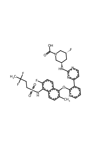 Cc1ccc2c(NS(=O)(=O)CCC(C)(F)F)c(F)ccc2c1Oc1ncccc1-c1ccnc(N[C@@H]2C[C@@H](F)CN(C(=O)O)C2)n1